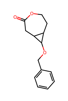 O=C1CC2C(CCO1)C2OCc1ccccc1